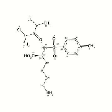 CC(Cl)C(=O)C(C)Cl.Cc1ccc(S(=O)(=O)N[C@@H](CCCCN)C(=O)O)cc1